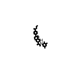 C=C(NC1C=C(C)C=C(C)C1C)C(=C)C1CC=C2C(C)(C)C(c3ccc(C(=C)CCC)cc3)=CC[C@]2(C)C1